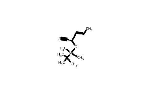 C/C=C/[C@H](C#N)O[Si](C)(C)C(C)(C)C